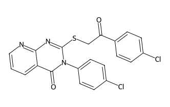 O=C(CSc1nc2ncccc2c(=O)n1-c1ccc(Cl)cc1)c1ccc(Cl)cc1